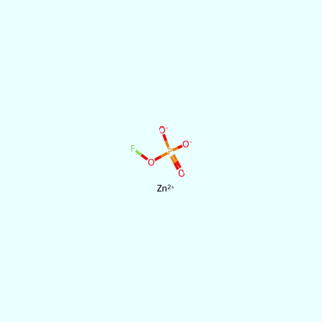 O=P([O-])([O-])OF.[Zn+2]